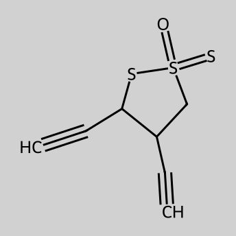 C#CC1CS(=O)(=S)SC1C#C